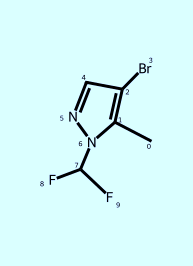 Cc1c(Br)cnn1C(F)F